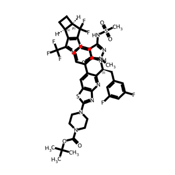 Cn1nc(NS(C)(=O)=O)c2cccc(-c3cc4sc(N5CCN(C(=O)OC(C)(C)C)CC5)nc4nc3[C@H](Cc3cc(F)cc(F)c3)NC(=O)Cn3nc(C(F)(F)F)c4c3C(F)(F)[C@@H]3CC[C@H]43)c21